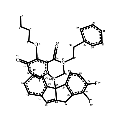 CCCCOc1c2n(ccc1=O)N(C13C(=Cc4ccccc41)Cc1c3ccc(F)c1F)CN(CCc1ccccc1)C2=O